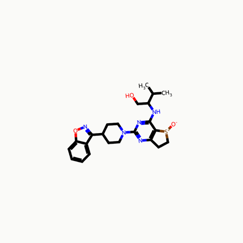 CC(C)C(CO)Nc1nc(N2CCC(c3noc4ccccc34)CC2)nc2c1[S+]([O-])CC2